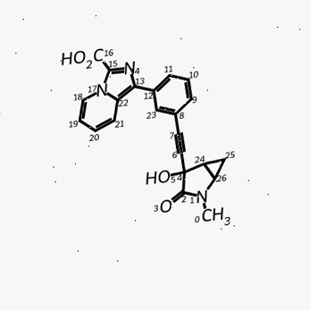 CN1C(=O)C(O)(C#Cc2cccc(-c3nc(C(=O)O)n4ccccc34)c2)C2CC21